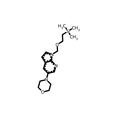 C[Si](C)(C)CCOCn1ccc2cc(N3CCOCC3)cnc21